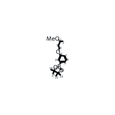 COC(C)CCOc1cccc(B2OC(C)(C)C(C)(C)O2)c1